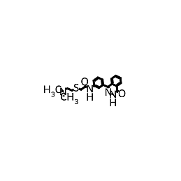 CN(C)CCSCC(=O)Nc1cccc(-c2n[nH]c(=O)c3ccccc23)c1